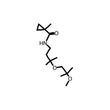 COC(C)(C)COC(C)(C)CCNC(=O)C1(C)CC1